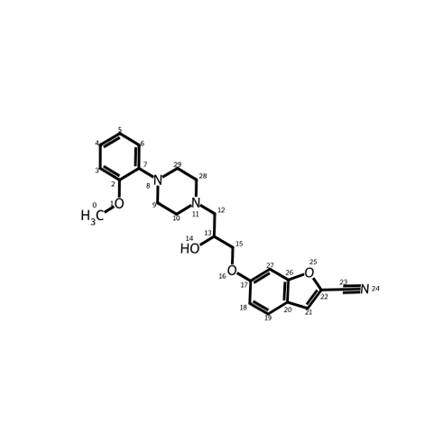 COc1ccccc1N1CCN(CC(O)COc2ccc3cc(C#N)oc3c2)CC1